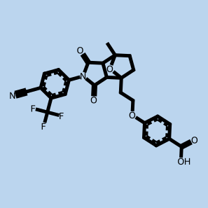 CC12CCC(CCOc3ccc(C(=O)O)cc3)(O1)C1C(=O)N(c3ccc(C#N)c(C(F)(F)F)c3)C(=O)C12